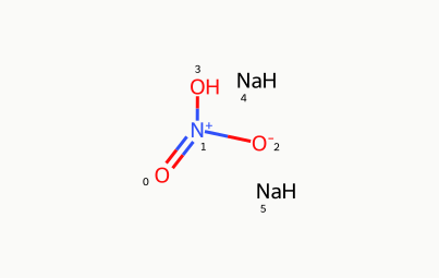 O=[N+]([O-])O.[NaH].[NaH]